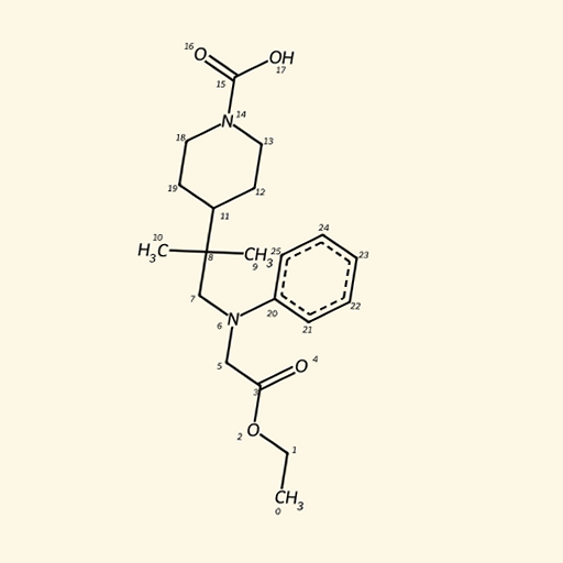 CCOC(=O)CN(CC(C)(C)C1CCN(C(=O)O)CC1)c1ccccc1